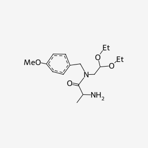 CCOC(CN(Cc1ccc(OC)cc1)C(=O)C(C)N)OCC